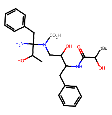 CC(O)C(N)(Cc1ccccc1)N(CC(O)C(Cc1ccccc1)NC(=O)C(O)C(C)(C)C)C(=O)O